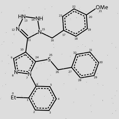 CCc1ccccc1-n1ncc(C2=NNNN2Cc2ccc(OC)cc2)c1SCc1ccccc1